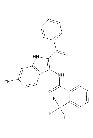 O=C(Nc1c(C(=O)c2ccccc2)[nH]c2cc(Cl)ccc12)c1ccccc1C(F)(F)F